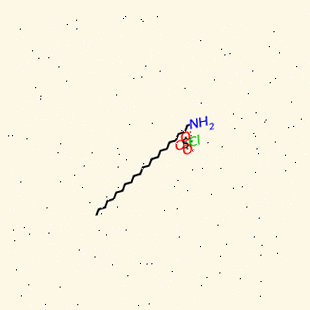 CCCCCCCCCCCCCCCCCCC(CCCN)O[Si](Cl)(OC)OC